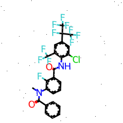 CN(C(=O)c1ccccc1)c1cccc(C(=O)Nc2c(Cl)cc(C(F)(C(F)(F)F)C(F)(F)F)cc2C(F)(F)F)c1F